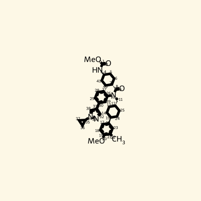 COC(=O)N[C@H]1CC[C@H](C(=O)N(C[C@H]2CC[C@H](c3ccc(OC)c(C)c3)CC2)c2cccc(-c3cnn(C4CC4)c3)c2)CC1